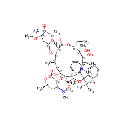 CC[C@H]1OC(=O)[C@H](C)[C@@H](O[C@H]2C[C@@](C)(OC)[C@@H](O)[C@H](C)O2)[C@H](C)[C@@H](O[C@@H]2O[C@H](C)C[C@H](N(C)C)[C@H]2OC(=O)CO[Si](c2ccccc2)(c2ccccc2)C(C)(C)C)[C@](C)(O)C[C@@H](C)CN(C)[C@H](C)[C@@H](O)[C@]1(C)O